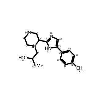 CSC(C)CN1CCNCC1c1ncc(-c2ccc(C)cc2)[nH]1